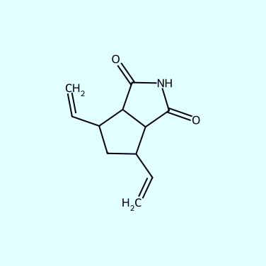 C=CC1CC(C=C)C2C(=O)NC(=O)C12